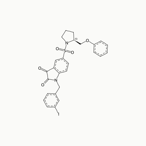 O=C1C(=O)N(Cc2cccc(I)c2)c2ccc(S(=O)(=O)N3CCC[C@H]3COc3ccccc3)cc21